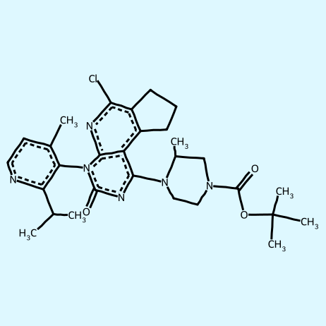 Cc1ccnc(C(C)C)c1-n1c(=O)nc(N2CCN(C(=O)OC(C)(C)C)CC2C)c2c3c(c(Cl)nc21)CCC3